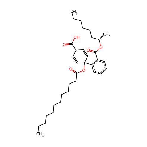 CCCCCCCCCCCC(=O)OC1(c2ccccc2C(=O)O[C@H](C)CCCCCC)C=CC(C(=O)O)C=C1